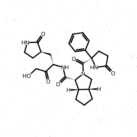 O=C1CC[C@](C(=O)N2C[C@@H]3CCC[C@@H]3[C@@H]2C(=O)N[C@@H](C[C@H]2CCNC2=O)C(=O)CO)(c2ccccc2)N1